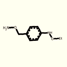 CCONc1ccc(CON)cc1